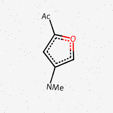 CNc1coc(C(C)=O)c1